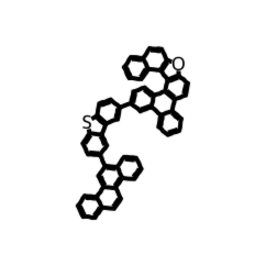 c1ccc2c(c1)ccc1c3ccccc3c(-c3ccc4sc5ccc(-c6ccc7c(c6)c6ccccc6c6ccc8oc9ccc%10ccccc%10c9c8c67)cc5c4c3)cc21